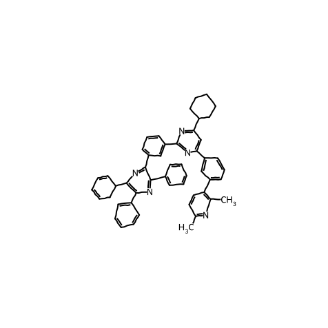 Cc1ccc(-c2cccc(-c3cc(C4CCCCC4)nc(-c4cccc(-c5nc(C6C=CC=CC6)c(-c6ccccc6)nc5-c5ccccc5)c4)n3)c2)c(C)n1